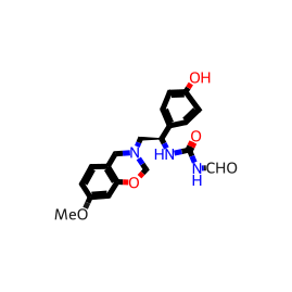 COc1ccc2c(c1)OCN(C[C@H](NC(=O)NC=O)c1ccc(O)cc1)C2